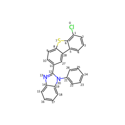 Clc1cccc2c1sc1ccc(-c3nc4ccccc4n3-c3ccccc3)cc12